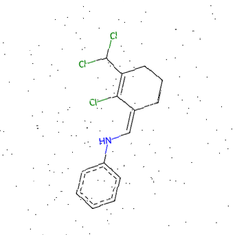 ClC1=C(C(Cl)Cl)CCCC1=CNc1ccccc1